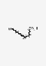 CC/C=C/C/C=C/C/C=C/C/C=C\C/C=C\CCCC(=O)O